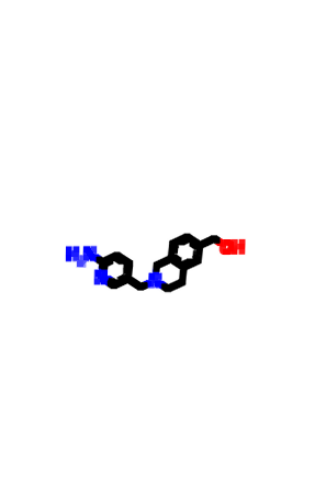 Nc1ccc(CN2CCc3cc(CO)ccc3C2)cn1